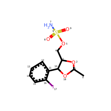 CC1OC(COS(N)(=O)=O)C(c2ccccc2I)O1